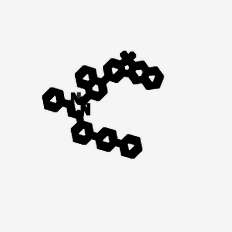 CC1(C)c2ccc(-c3ccc(-c4nc(-c5ccccc5)cc(-c5cccc(-c6ccc(-c7ccccc7)cc6)c5)n4)c4ccccc34)cc2-c2cc3ccccc3cc21